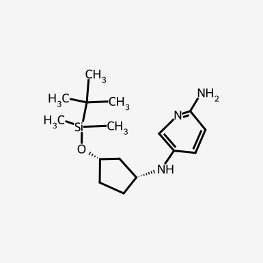 CC(C)(C)[Si](C)(C)O[C@H]1CC[C@@H](Nc2ccc(N)nc2)C1